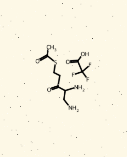 CC(=O)SCCC(=O)C(N)CN.O=C(O)C(F)(F)F